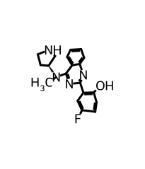 CN(c1nc(-c2cc(F)ccc2O)nc2ccccc12)[C@H]1CCNC1